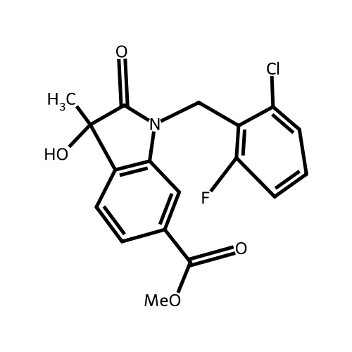 COC(=O)c1ccc2c(c1)N(Cc1c(F)cccc1Cl)C(=O)C2(C)O